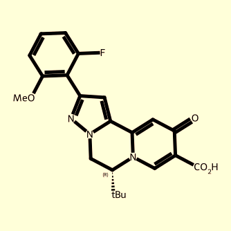 COc1cccc(F)c1-c1cc2n(n1)C[C@@H](C(C)(C)C)n1cc(C(=O)O)c(=O)cc1-2